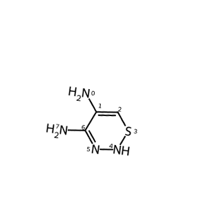 NC1=CSNN=C1N